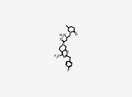 CC1CCC(=O)N(C[C@H](N)CC(=O)N2CCc3c(nc(Cc4ccc(F)cc4)nc3C(F)(F)F)C2)C1